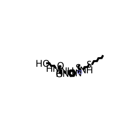 CCCCCCSCCN/C(=N/c1ccc(NNC(=O)C(=O)NCCCO)cc1)SC